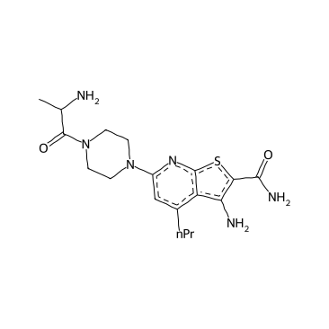 CCCc1cc(N2CCN(C(=O)C(C)N)CC2)nc2sc(C(N)=O)c(N)c12